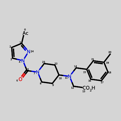 CC(=O)c1ccn(C(=O)N2CCC(N(CC(=O)O)Cc3cccc(C)c3)CC2)n1